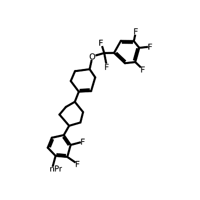 CCCc1ccc(C2CCC(C3=CCC(OC(F)(F)c4cc(F)c(F)c(F)c4)CC3)CC2)c(F)c1F